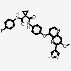 COc1cc2nccc(Oc3ccc(NC(=O)C4(C(=O)Nc5ccc(F)cc5)CC4)cc3)c2nc1-c1cn[nH]c1